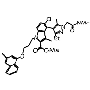 CCc1nn(CC(=O)NC)c(C)c1-c1c(Cl)ccc2c1c(C)c(C(=O)OC)n2CCCOc1cc(C)cc2ccccc12